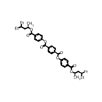 CCC(CC)C[C@@H](C)OC(=O)c1ccc(OC(=O)c2ccc(C(=O)Oc3ccc(C(=O)O[C@H](C)CC(CC)CC)cc3)cc2)cc1